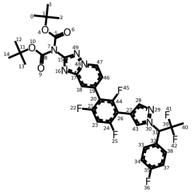 CC(C)(C)OC(=O)N(C(=O)OC(C)(C)C)c1nc2cc(-c3c(F)cc(F)c(-c4cnn(C(c5ccc(F)cc5)C(C)(F)F)c4)c3F)ccn2n1